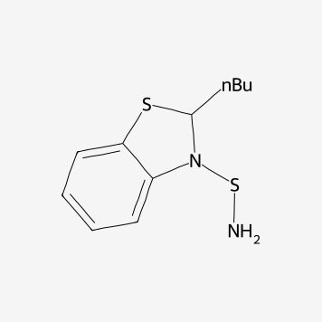 CCCCC1Sc2ccccc2N1SN